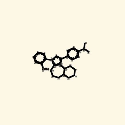 COc1ccccc1-n1cc(-c2ccc(N(C)C)cc2)[n+]2c1CCCC1CCCCC12